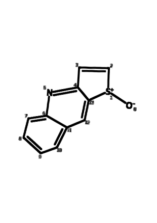 [O-][s+]1ccc2nc3ccccc3cc21